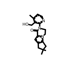 Cc1ccnc(N2CCn3c(cc4c3CC(C)(C)C4)C2=O)c1CO